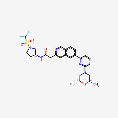 C[C@@H]1CN(c2cccc(-c3ccc4cnc(CC(=O)N[C@H]5CCN(S(=O)(=O)C(F)F)C5)cc4c3)n2)C[C@H](C)O1